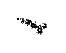 CC(C)(C)OC(=O)N1CCC2(CC1)CCN(c1ccc3cc(-c4nn(C5CCCCO5)c5c4C[C@@H]4C(F)(F)C4(C)C5)[nH]c3c1)C2=O